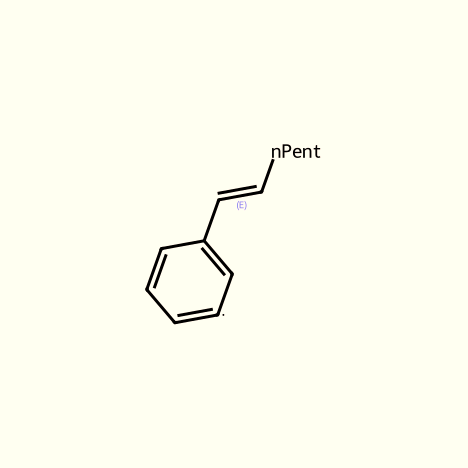 CCCCC/C=C/c1c[c]ccc1